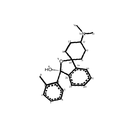 Cc1ccccc1[C@@]1(O)OC2(CCC(N(C)C)CC2)c2ccccc21